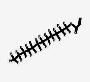 C=CC(=O)OC(F)(F)C(F)(F)C(F)(F)C(F)(F)C(F)(F)C(F)(F)C(F)(F)C(F)(F)C(F)(F)C(F)(F)C(F)(F)C(F)(F)F